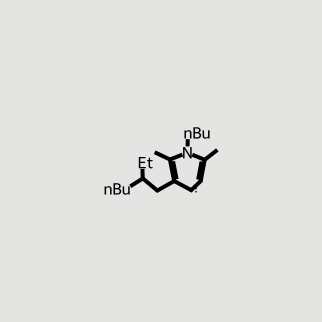 CCCCC(CC)CC1=C(C)N(CCCC)C(C)=C[C]1